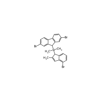 CC1=Cc2c(Br)cccc2C1[Si](C)(C)C1c2cc(Br)ccc2-c2ccc(Br)cc21